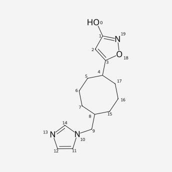 Oc1cc(C2CCCC(Cn3ccnc3)CCC2)on1